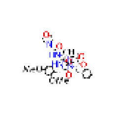 COc1ccc(C[C@H](NC(=O)[C@H](C)NC(=O)CN2CCOCC2)C(=O)NC(Cc2ccccc2)C(=O)[C@@]2(C)CO2)c(OC)c1